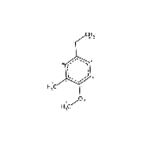 [CH2]Cc1ccc(OC)c(C)c1